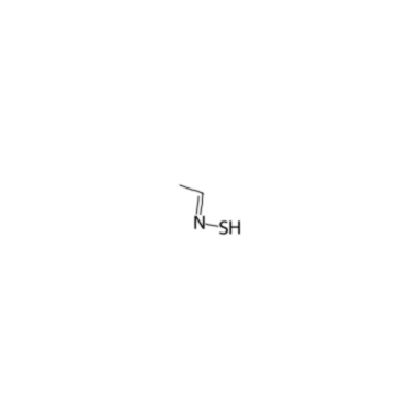 CC=NS